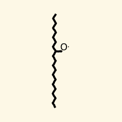 CCCCCCCCCCCCC(C[O])CCCCCCCC